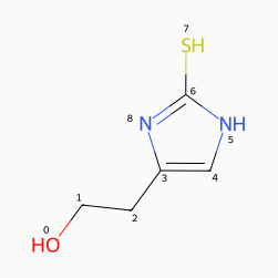 OCCc1c[nH]c(S)n1